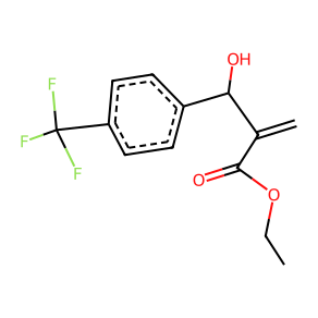 C=C(C(=O)OCC)C(O)c1ccc(C(F)(F)F)cc1